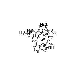 CN(C)CCCOc1ccccc1-c1cc2c(c3c1C(=O)NC3)c1ccccc1n2C(C)(C)CCN.Cl.Cl